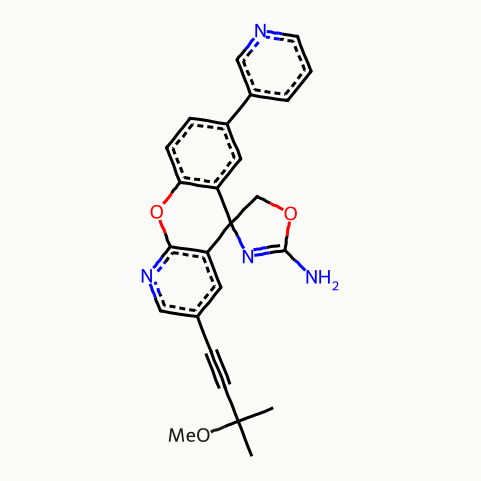 COC(C)(C)C#Cc1cnc2c(c1)C1(COC(N)=N1)c1cc(-c3cccnc3)ccc1O2